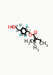 C=CC1C(C(=O)OCc2c(F)c(F)c(CCO)c(F)c2F)C1(C)C